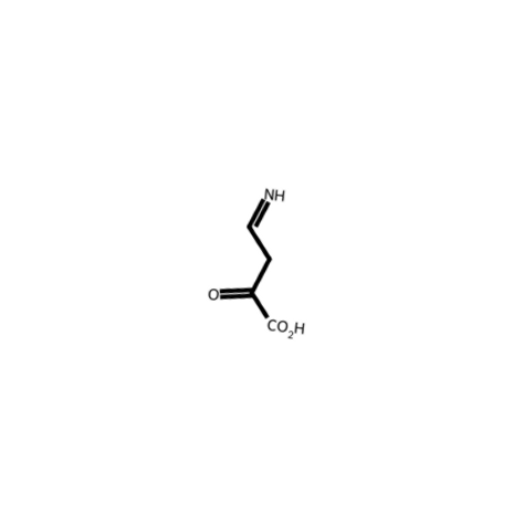 N=CCC(=O)C(=O)O